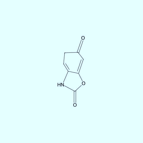 O=C1C=c2oc(=O)[nH]c2=CC1